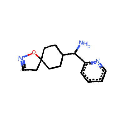 NC(c1ccccn1)C1CCC2(C[C]=NO2)CC1